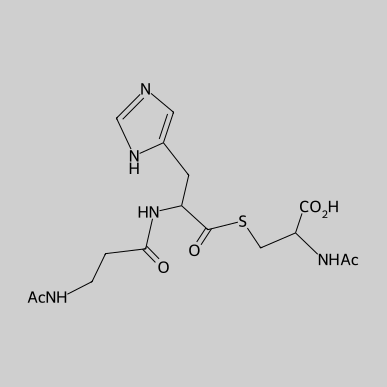 CC(=O)NCCC(=O)NC(Cc1cnc[nH]1)C(=O)SCC(NC(C)=O)C(=O)O